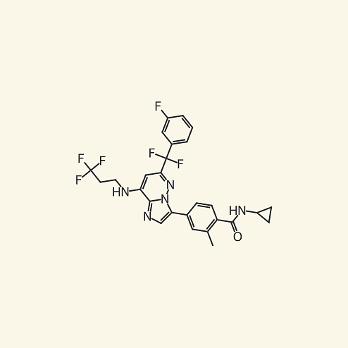 Cc1cc(-c2cnc3c(NCCC(F)(F)F)cc(C(F)(F)c4cccc(F)c4)nn23)ccc1C(=O)NC1CC1